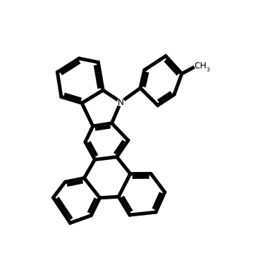 Cc1ccc(-n2c3ccccc3c3cc4c5ccccc5c5ccccc5c4cc32)cc1